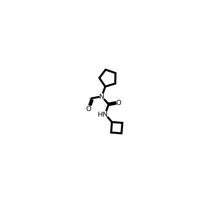 O=[C]N(C(=O)NC1CCC1)C1CCCC1